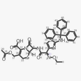 CCO/N=C(/C(=O)NC1C(=O)N2C(C(=O)O)=C(COC(C)=O)CS[C@H]12)c1csc(NC(c2ccccc2)(c2ccccc2)c2ccccc2)n1